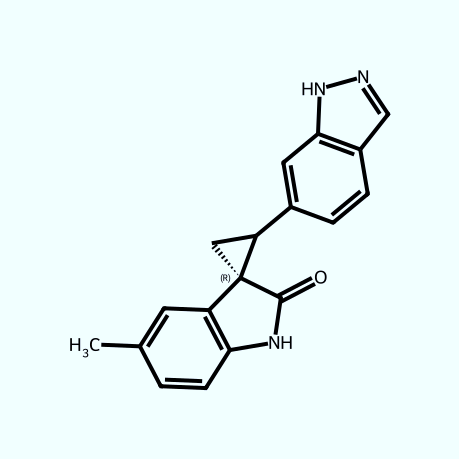 Cc1ccc2c(c1)[C@]1(CC1c1ccc3cn[nH]c3c1)C(=O)N2